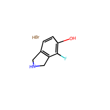 Br.Oc1ccc2c(c1F)CNC2